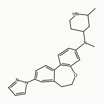 CC1CC(N(C)c2ccc3c(c2)OCCc2cc(-n4cccn4)ccc2-3)CCN1